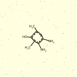 Cc1cc(N)c(N)c(C)c1O